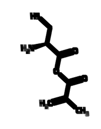 C=C(C)C(=O)OC(=O)[C@@H](N)CS